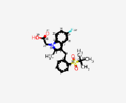 Cc1c(Cc2ccccc2S(=O)(=O)C(C)(C)C)c2cc(F)ccc2n1CC(=O)O